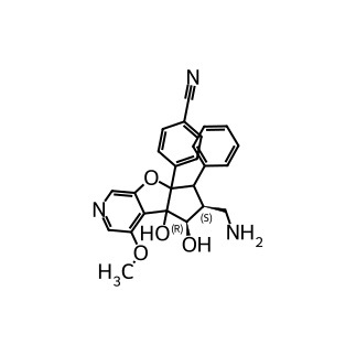 COc1cncc2c1C1(O)[C@H](O)[C@H](CN)C(c3ccccc3)C1(c1ccc(C#N)cc1)O2